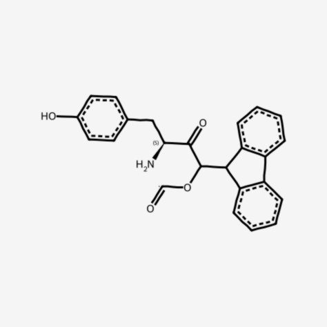 N[C@@H](Cc1ccc(O)cc1)C(=O)C(O[C]=O)C1c2ccccc2-c2ccccc21